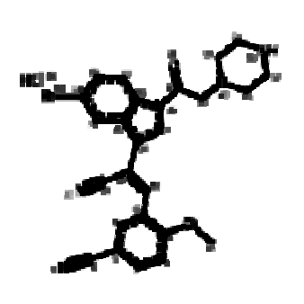 COc1ccc(C#N)cc1C=C(C#N)c1cn(C(=O)CN2CCNCC2)c2ccc(Br)cc12.Cl